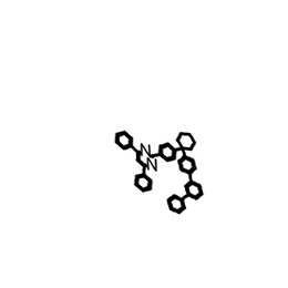 c1ccc(-c2cccc(-c3ccc(C4(c5ccc(-c6nc(-c7ccccc7)cc(-c7ccccc7)n6)cc5)CCCCC4)cc3)c2)cc1